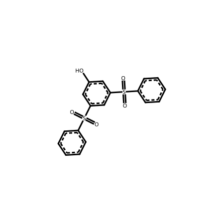 O=S(=O)(c1ccccc1)c1cc(O)cc(S(=O)(=O)c2ccccc2)c1